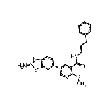 COc1ncc(-c2ccc3c(c2)SS(N)=N3)cc1C(=O)NCCCc1ccccc1